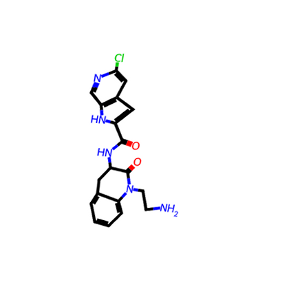 NCCN1C(=O)C(NC(=O)c2cc3cc(Cl)ncc3[nH]2)Cc2ccccc21